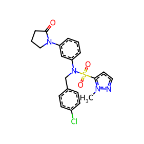 Cn1nccc1S(=O)(=O)N(Cc1ccc(Cl)cc1)c1cccc(N2CCCC2=O)c1